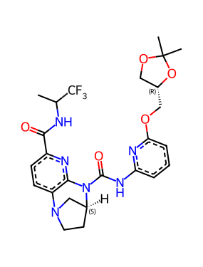 CC(NC(=O)c1ccc2c(n1)N(C(=O)Nc1cccc(OC[C@@H]3COC(C)(C)O3)n1)[C@H]1CCN2C1)C(F)(F)F